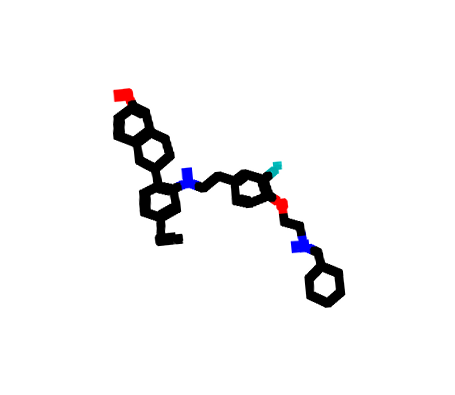 COc1ccc(C2CCc3cc(O)ccc3C2)c(NCCc2ccc(OCCNCC3CCCCC3)c(F)c2)c1